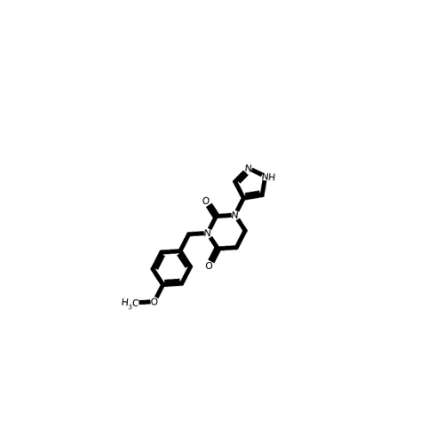 COc1ccc(CN2C(=O)CCN(c3cn[nH]c3)C2=O)cc1